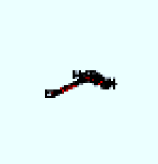 CCC=CCC=CCC=CCC=CCC=CCCCC(=O)N[C@@H](C)C(=O)Nc1nc2c(s1)C[C@H](NCCC)CC2